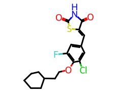 O=C1NC(=O)/C(=C/c2cc(F)c(OCCC3CCCCC3)c(Cl)c2)S1